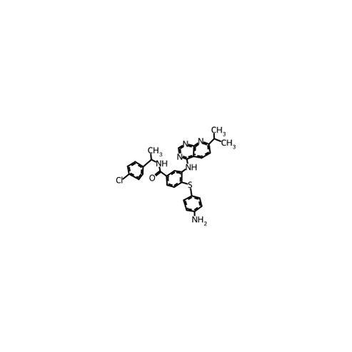 CC(C)c1ccc2c(Nc3cc(C(=O)NC(C)c4ccc(Cl)cc4)ccc3Sc3ccc(N)cc3)ncnc2n1